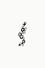 CC1(COc2ccc(Nc3ncnc4ccc(O[C@H]5CCN(C(=O)OC(C)(C)C)C5)nc34)c(F)c2Cl)COC1